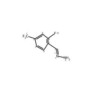 N/N=C/c1ccc(C(F)(F)F)cc1F